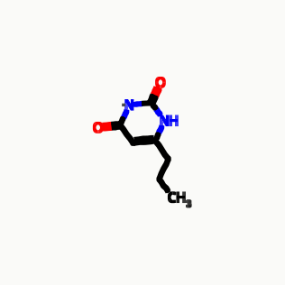 CCCC1=CC(=O)[N]C(=O)N1